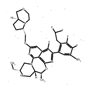 CC[C@@H]1CN2c3nc(OC[C@@H]4CC[C@H]5COCCN54)cc4c(F)c(-c5cc(N)c(F)c(F)c5CC(F)F)nc(c34)O[C@@H](C)[C@@H]2CN1